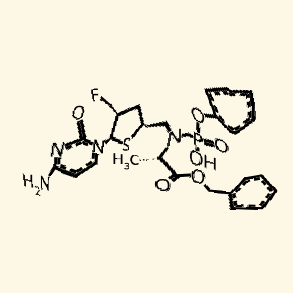 C[C@@H](C(=O)OCc1ccccc1)N(C[C@@H]1C[C@H](F)[C@H](n2ccc(N)nc2=O)S1)P(=O)(O)Oc1ccccc1